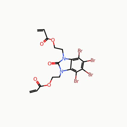 C=CC(=O)OCCn1c(=O)n(CCOC(=O)C=C)c2c(Br)c(Br)c(Br)c(Br)c21